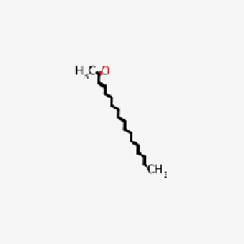 CCCCCCCCCCCCCCC=CC(C)=O